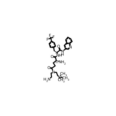 C[N+](C)(C)CCN(CCN)C(=O)CC[C@H](N)C(=O)N[C@@H](Cc1ccc(C(F)(F)F)cc1)C(=O)Nc1cnc2ccccc2c1